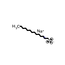 CCCCCCCCCCC/C=C/CS(=O)(=O)[O-].[Na+]